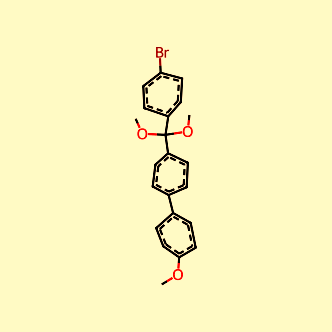 COc1ccc(-c2ccc(C(OC)(OC)c3ccc(Br)cc3)cc2)cc1